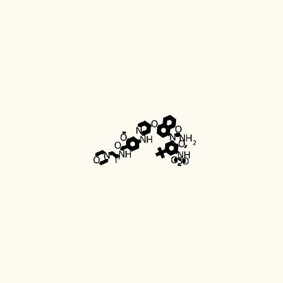 COc1cc(Nc2cc(Oc3ccc(N(C(N)=O)c4cc(C(C)(C)C)cc(NS(C)(=O)=O)c4OC)c4ccccc34)ccn2)ccc1C(=O)N[C@H](C)CN1CCOCC1